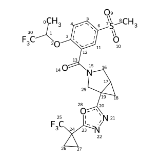 CC(Oc1ccc(S(C)(=O)=O)cc1C(=O)N1CC2CC2(c2nnc(C3(C(F)(F)F)CC3)o2)C1)C(F)(F)F